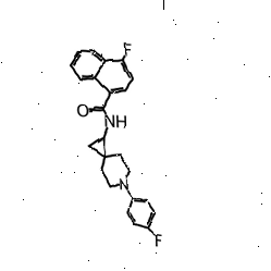 O=C(NC1CC12CCN(c1ccc(F)cc1)CC2)c1ccc(F)c2ccccc12